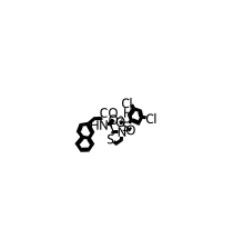 O=C(O)[C@H](Cc1ccc2ccccc2c1)NC(=O)[C@@H]1SCCN1S(=O)(=O)c1cc(Cl)cc(Cl)c1